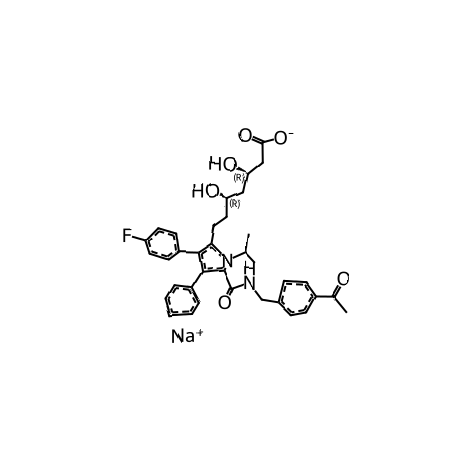 CC(=O)c1ccc(CNC(=O)c2c(-c3ccccc3)c(-c3ccc(F)cc3)c(CC[C@@H](O)C[C@@H](O)CC(=O)[O-])n2C(C)C)cc1.[Na+]